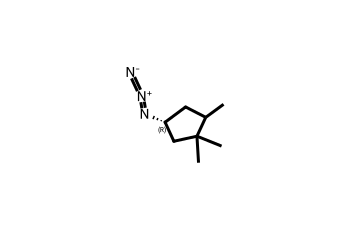 CC1C[C@@H](N=[N+]=[N-])CC1(C)C